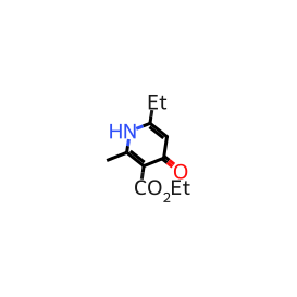 CCOC(=O)c1c(C)[nH]c(CC)cc1=O